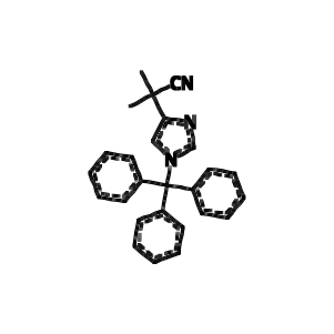 CC(C)(C#N)c1cn(C(c2ccccc2)(c2ccccc2)c2ccccc2)cn1